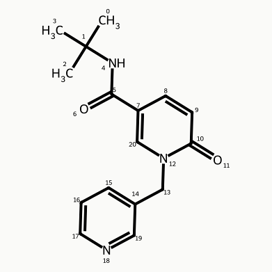 CC(C)(C)NC(=O)c1ccc(=O)n(Cc2cccnc2)c1